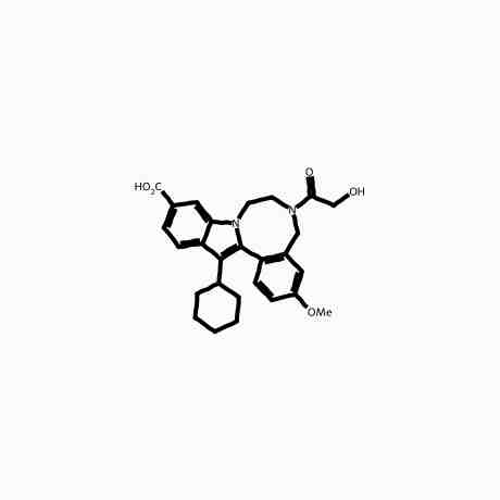 COc1ccc2c(c1)CN(C(=O)CO)CCn1c-2c(C2CCCCC2)c2ccc(C(=O)O)cc21